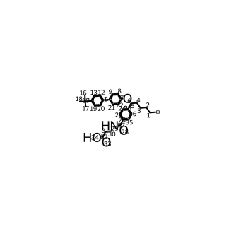 CCCCCC(Oc1ccc(-c2ccc(C(C)(C)C)cc2)cc1)c1ccc(C(=O)NCCC(=O)O)cc1